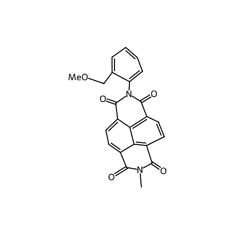 COCc1ccccc1N1C(=O)c2ccc3c4c(ccc(c24)C1=O)C(=O)N(C)C3=O